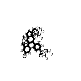 C=C[C@]1(O)CC[C@H]2[C@@H]3OCC4=CC(=O)CCC4=C3C(c3ccc(N(C)C)cc3)C[C@@]21C